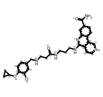 NC(=O)c1ccc2c(c1)nc(NCCCNC(=O)CCNCc1ccc(OC3CC3)c(Cl)c1)c1ccncc12